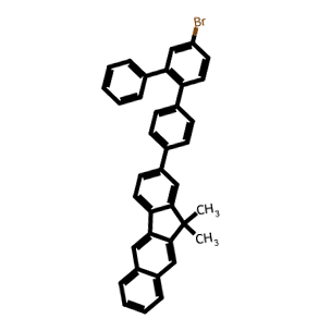 CC1(C)c2cc(-c3ccc(-c4ccc(Br)cc4-c4ccccc4)cc3)ccc2-c2cc3ccccc3cc21